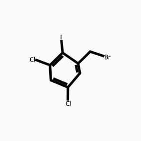 Clc1cc(Cl)c(I)c(CBr)c1